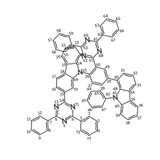 c1ccc(-c2nc(-c3ccccc3)nc(-c3ccc4c5ccccc5n(-c5ccc(-c6cccc7c8ccccc8n(-c8ccccc8)c67)cc5-c5nc(-c6ccccc6)nc(-c6ccccc6)n5)c4c3)n2)cc1